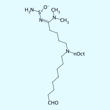 CCCCCCCCN(CCCCCCCC=O)CCCC/C(=N/[S+](N)[O-])N(C)C